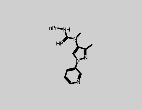 CCCNC(=P)N(C)c1cn(-c2cccnc2)nc1C